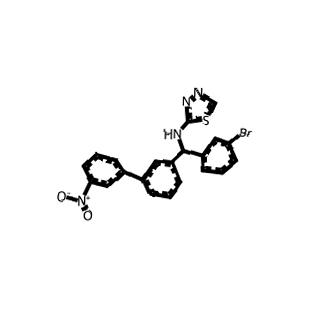 O=[N+]([O-])c1cccc(-c2cccc(C(Nc3nncs3)c3cccc(Br)c3)c2)c1